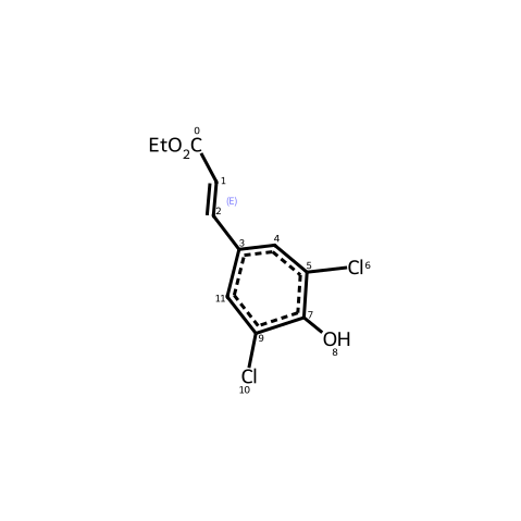 CCOC(=O)/C=C/c1cc(Cl)c(O)c(Cl)c1